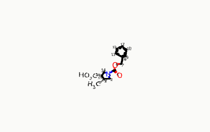 C[C@H]1CN(C(=O)OCc2ccccc2)C[C@H]1C(=O)O